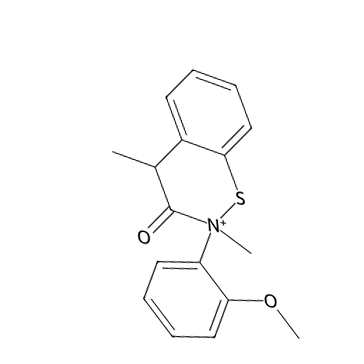 COc1ccccc1[N+]1(C)Sc2ccccc2C(C)C1=O